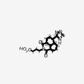 O=C(O)CCCN1C(=O)c2cccc3c(-c4nnn[nH]4)ccc(c23)C1=O